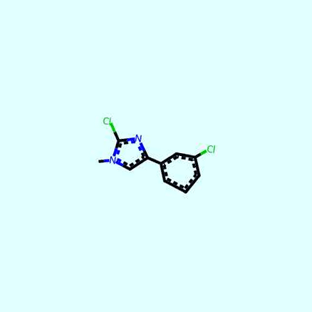 Cn1cc(-c2cccc(Cl)c2)nc1Cl